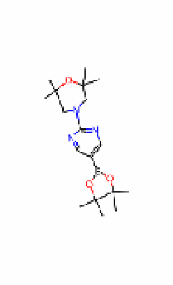 CC1(C)CN(c2ncc(B3OC(C)(C)C(C)(C)O3)cn2)CC(C)(C)O1